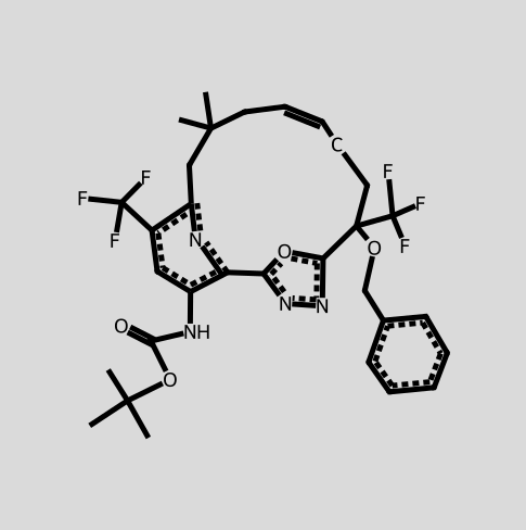 CC1(C)C/C=C\CCC(OCc2ccccc2)(C(F)(F)F)c2nnc(o2)-c2nc(c(C(F)(F)F)cc2NC(=O)OC(C)(C)C)C1